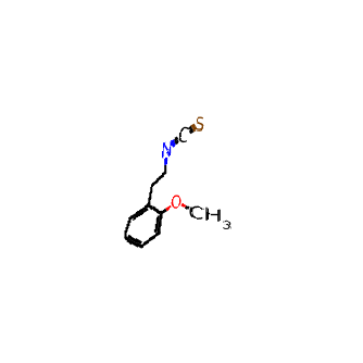 COc1ccccc1CCN=C=S